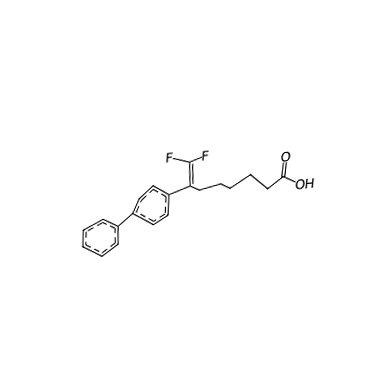 O=C(O)CCCCCC(=C(F)F)c1ccc(-c2ccccc2)cc1